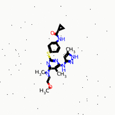 COCCN(C)c1nc(Sc2ccc(NC(=O)C3CC3)cc2)nc(Nc2cc(C)[nH]n2)c1C